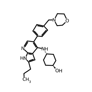 CCCc1cc2c(N[C@H]3CC[C@H](O)CC3)c(-c3ccc(CN4CCOCC4)cc3)cnc2[nH]1